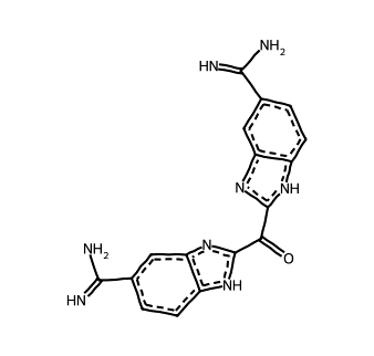 N=C(N)c1ccc2[nH]c(C(=O)c3nc4cc(C(=N)N)ccc4[nH]3)nc2c1